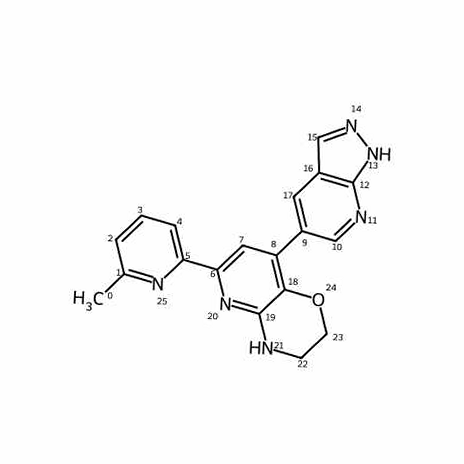 Cc1cccc(-c2cc(-c3cnc4[nH]ncc4c3)c3c(n2)NCCO3)n1